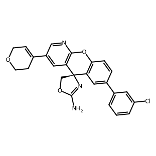 NC1=N[C@@]2(CO1)c1cc(-c3cccc(Cl)c3)ccc1Oc1ncc(C3=CCOCC3)cc12